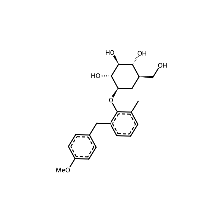 COc1ccc(Cc2cccc(C)c2O[C@@H]2C[C@H](CO)[C@@H](O)[C@H](O)[C@H]2O)cc1